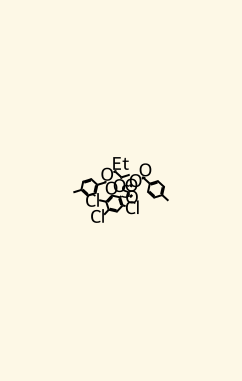 CCC(OC(=O)c1ccc(C)cc1)C(COC(=O)c1ccc(C)cc1)OS(=O)(=O)c1cc(Cl)c(Cl)cc1Cl